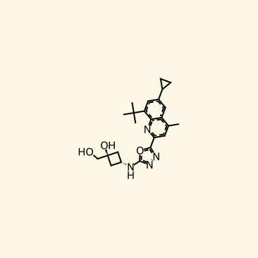 Cc1cc(-c2nnc(N[C@H]3C[C@@](O)(CO)C3)o2)nc2c(C(C)(C)C)cc(C3CC3)cc12